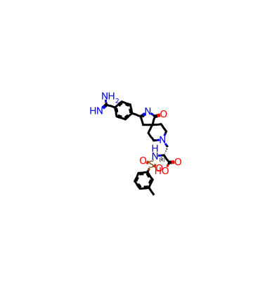 Cc1cccc(S(=O)(=O)N[C@H](CN2CCC3(CC2)CC(c2ccc(C(=N)N)cc2)=NC3=O)C(=O)O)c1